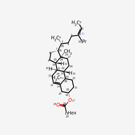 C/C=C(\CC[C@@H](C)[C@H]1CC[C@H]2[C@@H]3CC=C4C[C@@H](OC(=O)CCCCCC)CC[C@]4(C)[C@H]3CC[C@]12C)C(C)C